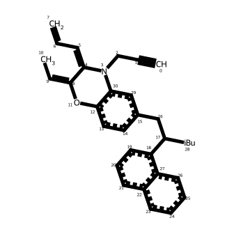 C#CCN1C(=C/C=C)/C(=C\C)Oc2ccc(CC(c3cccc4ccccc34)C(C)CC)cc21